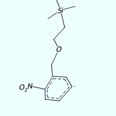 C[Si](C)(C)CCOCc1c[c]ccc1[N+](=O)[O-]